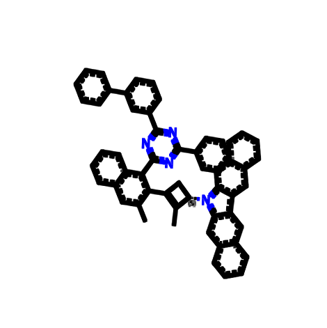 CC1=C(c2c(C)cc3ccccc3c2-c2nc(-c3ccccc3)nc(-c3cccc(-c4ccccc4)c3)n2)C[C@@H]1n1c2cc3ccccc3cc2c2cc3ccccc3cc21